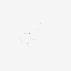 Cc1cccc(NC(=O)[C@@](C)(O)C(F)(F)F)c1S